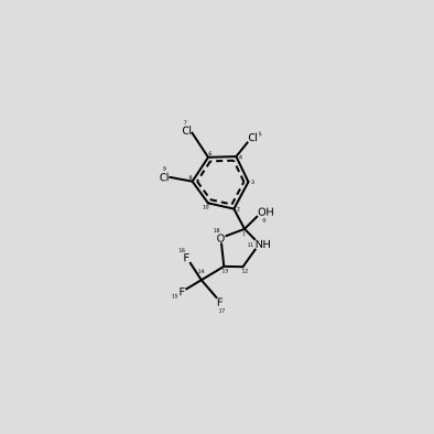 OC1(c2cc(Cl)c(Cl)c(Cl)c2)NCC(C(F)(F)F)O1